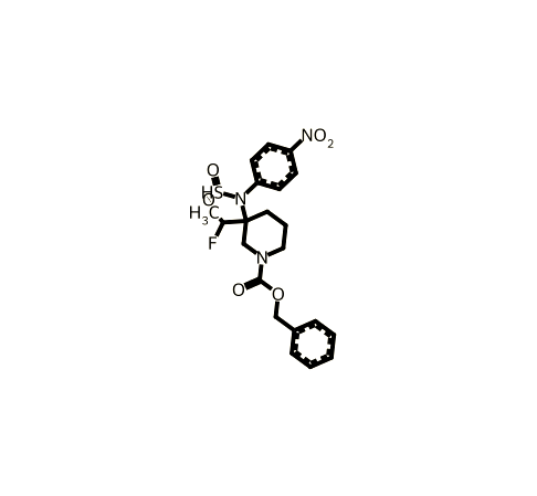 CC(F)C1(N(c2ccc([N+](=O)[O-])cc2)[SH](=O)=O)CCCN(C(=O)OCc2ccccc2)C1